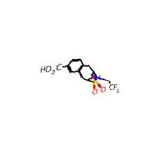 O=C(O)c1ccc2c(c1)CC1CCC(C2)C12CN(CC(F)(F)F)S(=O)(=O)N2